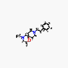 CC1CN(C(C)C)CC2(CCN(CCc3ccccc3)CC2)O1